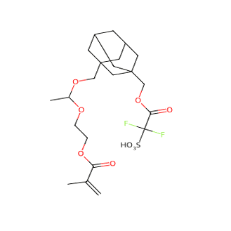 C=C(C)C(=O)OCCOC(C)OCC12CC3CC(CC(COC(=O)C(F)(F)S(=O)(=O)O)(C3)C1)C2